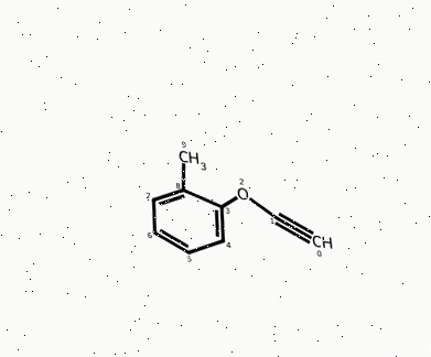 C#COc1ccccc1C